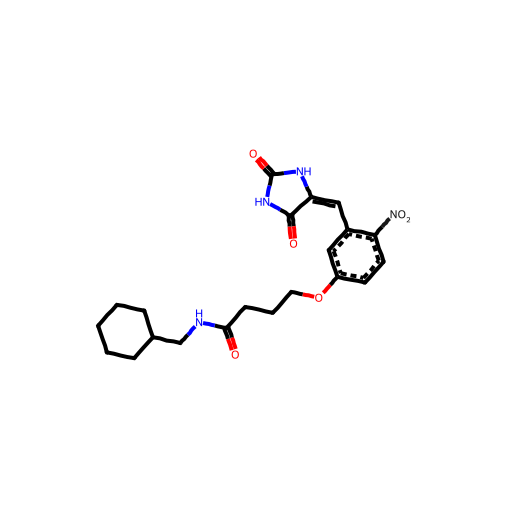 O=C(CCCOc1ccc([N+](=O)[O-])c(/C=C2/NC(=O)NC2=O)c1)NCC1CCCCC1